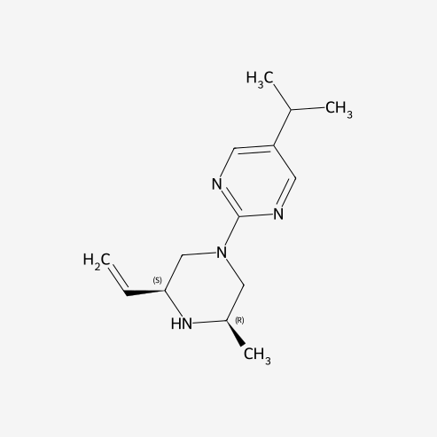 C=C[C@H]1CN(c2ncc(C(C)C)cn2)C[C@@H](C)N1